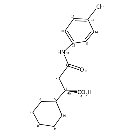 O=C(C[C@@H](C(=O)O)C1CCCCC1)Nc1ccc(Cl)cc1